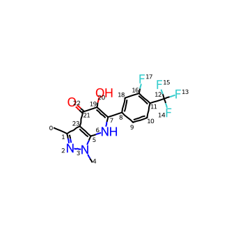 Cc1nn(C)c2[nH]c(-c3ccc(C(F)(F)F)c(F)c3)c(O)c(=O)c12